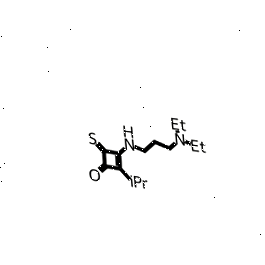 CCN(CC)CCCNc1c(C(C)C)c(=O)c1=S